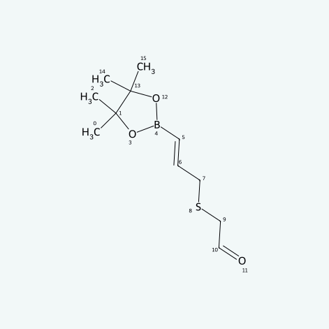 CC1(C)OB(/C=C/CSCC=O)OC1(C)C